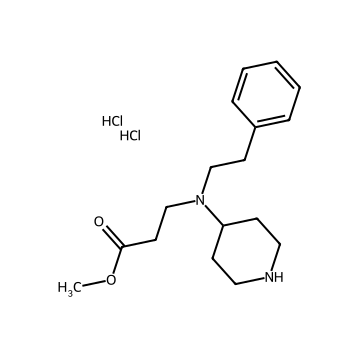 COC(=O)CCN(CCc1ccccc1)C1CCNCC1.Cl.Cl